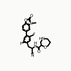 Cn1c(=O)oc2ccc(-c3cc(F)c(CC(C#N)NC(=O)C4CNCCCO4)cc3F)cc21